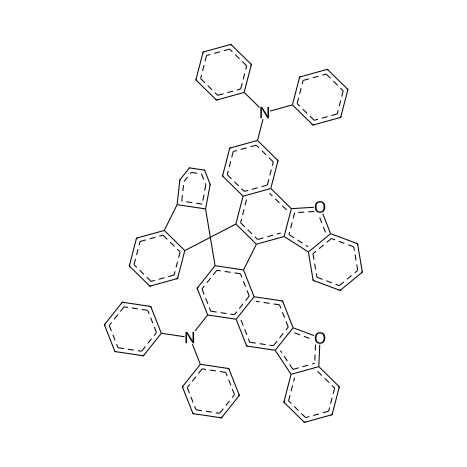 c1ccc(N(c2ccccc2)c2ccc3c4c(c5c6ccccc6oc5c3c2)-c2c(cc(N(c3ccccc3)c3ccccc3)c3cc5c(cc23)oc2ccccc25)C42c3ccccc3-c3ccccc32)cc1